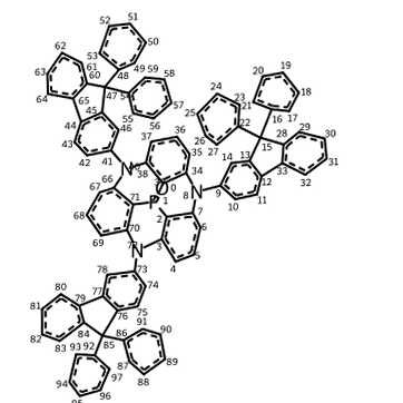 O=P12c3c4cccc3N(c3ccc5c(c3)C(c3ccccc3)(c3ccccc3)c3ccccc3-5)c3cccc(c31)N(c1ccc3c(c1)C(c1ccccc1)(c1ccccc1)c1ccccc1-3)c1cccc(c12)N4c1ccc2c(c1)-c1ccccc1C2(c1ccccc1)c1ccccc1